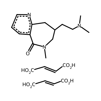 CN(C)CCC1Cc2ncccc2C(=O)N(C)C1.O=C(O)C=CC(=O)O.O=C(O)C=CC(=O)O